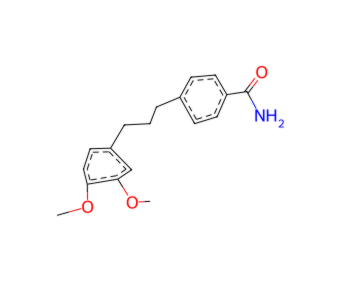 COc1ccc(CCCc2ccc(C(N)=O)cc2)cc1OC